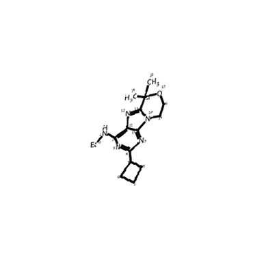 CCNc1nc(C2CCC2)nc2c1nc1n2CCOC1(C)C